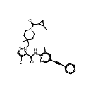 Cc1cc(C#Cc2ccccc2)cnc1NC(=O)c1c(Cl)cnn1CC1(C)CCN(C(=O)C2CC2C)CC1